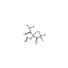 C=CCC(C)(C(=O)C(C)C)C(=O)C(C)(C)C